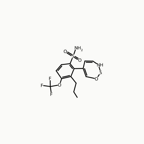 CCCc1c(OC(F)(F)F)ccc(S(N)(=O)=O)c1-c1cc[nH]soc1